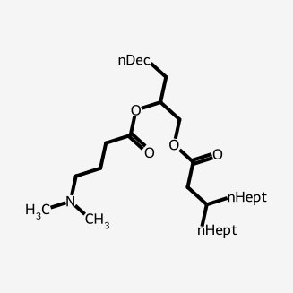 CCCCCCCCCCCC(COC(=O)CC(CCCCCCC)CCCCCCC)OC(=O)CCCN(C)C